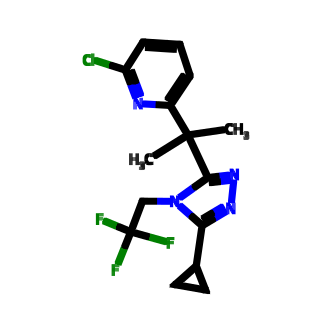 CC(C)(c1cccc(Cl)n1)c1nnc(C2CC2)n1CC(F)(F)F